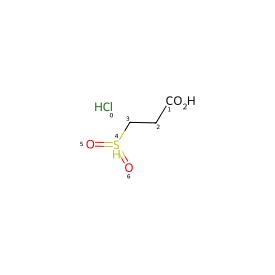 Cl.O=C(O)CC[SH](=O)=O